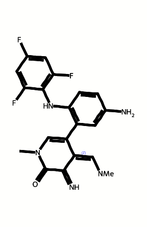 CN/C=C1\C(=N)C(=O)N(C)C=C1c1cc(N)ccc1Nc1c(F)cc(F)cc1F